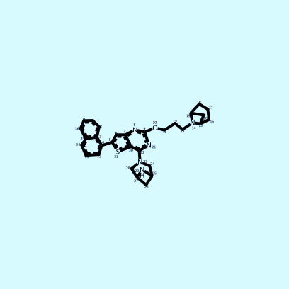 c1ccc2c(-c3cc4nc(OCCCN5C6CCCC5C6)nc(N5CC6CC(C5)N6)c4s3)cccc2c1